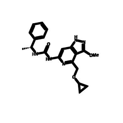 COc1n[nH]c2cc(NC(=O)N[C@H](C)c3ccccc3)nc(COC3CC3)c12